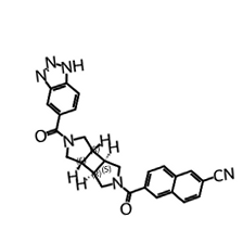 N#Cc1ccc2cc(C(=O)N3C[C@@H]4[C@H](C3)[C@H]3CN(C(=O)c5ccc6[nH]nnc6c5)C[C@@H]43)ccc2c1